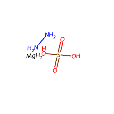 NN.O=S(=O)(O)O.[MgH2]